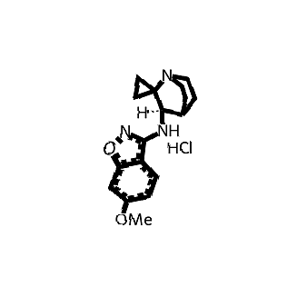 COc1ccc2c(N[C@@H]3C4CCN(CC4)C34CC4)noc2c1.Cl